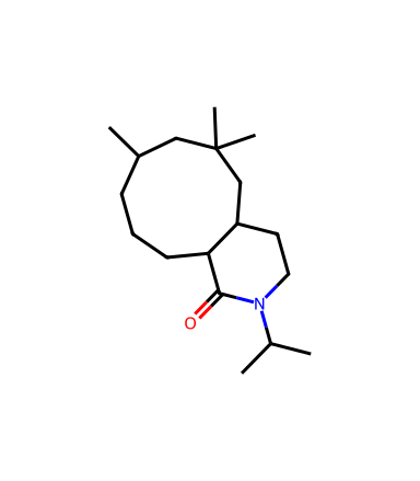 CC1CCCC2C(=O)N(C(C)C)CCC2CC(C)(C)C1